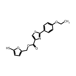 CCOc1ccc(-c2nc(C(=O)OCc3ccc(S)o3)cs2)cc1